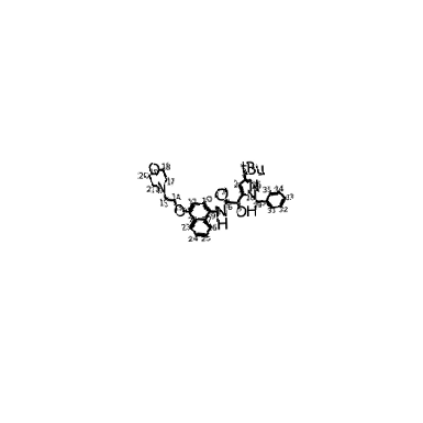 CC(C)(C)c1cc(C(O)C(=O)Nc2ccc(OCCN3CCOCC3)c3ccccc23)n(Cc2ccccc2)n1